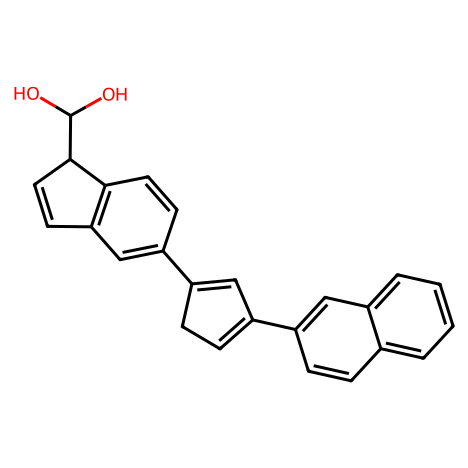 OC(O)C1C=Cc2cc(C3=CC(c4ccc5ccccc5c4)=CC3)ccc21